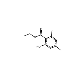 CCOC(=O)c1c(C)cc(C)cc1O